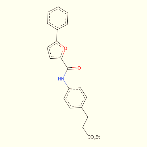 CCOC(=O)CCc1ccc(NC(=O)c2ccc(-c3ccccc3)o2)cc1